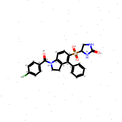 O=C1NCC(S(=O)(=O)c2ccc3c(c2-c2ccccc2)CCN3C(=O)c2ccc(F)cc2)N1